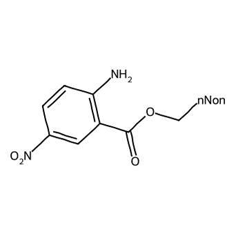 CCCCCCCCCCOC(=O)c1cc([N+](=O)[O-])ccc1N